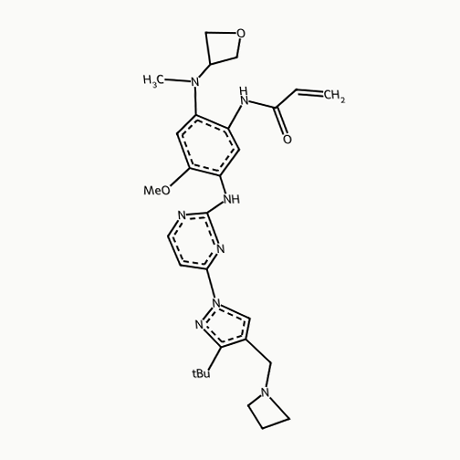 C=CC(=O)Nc1cc(Nc2nccc(-n3cc(CN4CCC4)c(C(C)(C)C)n3)n2)c(OC)cc1N(C)C1COC1